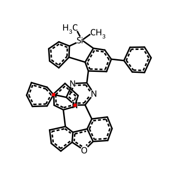 C[Si]1(C)c2ccccc2-c2c(-c3nc(-c4ccccc4)nc(-c4cccc5oc6cccc(-c7ccccc7)c6c45)n3)cc(-c3ccccc3)cc21